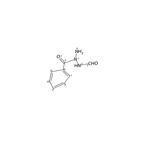 NN(NC=O)C(=O)c1ccccc1